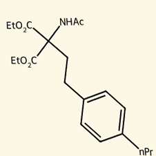 CCCc1ccc(CCC(NC(C)=O)(C(=O)OCC)C(=O)OCC)cc1